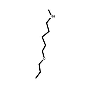 CNCCCCCOCCI